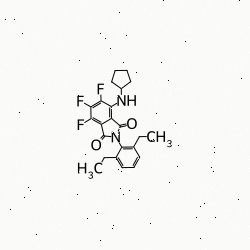 CCc1cccc(CC)c1N1C(=O)c2c(F)c(F)c(F)c(NC3CCCC3)c2C1=O